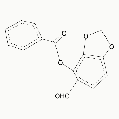 O=Cc1ccc2c(c1OC(=O)c1ccccc1)OCO2